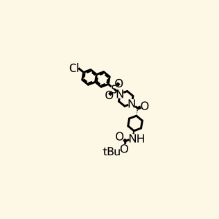 CC(C)(C)OC(=O)N[C@H]1CC[C@H](C(=O)N2CCN(S(=O)(=O)c3ccc4cc(Cl)ccc4c3)CC2)CC1